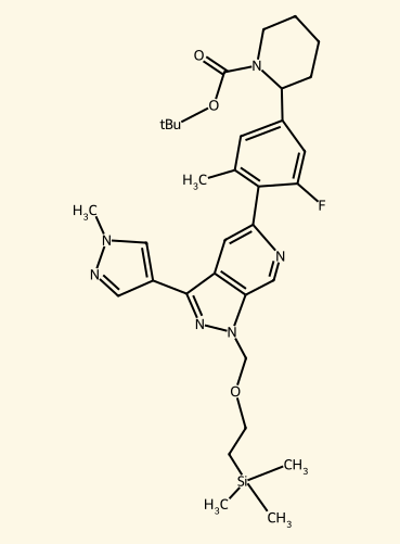 Cc1cc(C2CCCCN2C(=O)OC(C)(C)C)cc(F)c1-c1cc2c(-c3cnn(C)c3)nn(COCC[Si](C)(C)C)c2cn1